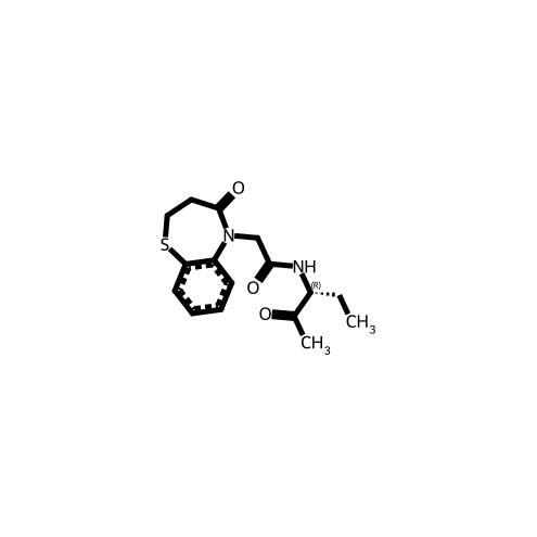 CC[C@@H](NC(=O)CN1C(=O)CCSc2ccccc21)C(C)=O